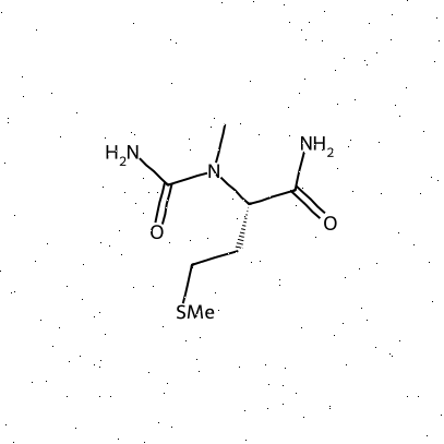 CSCC[C@@H](C(N)=O)N(C)C(N)=O